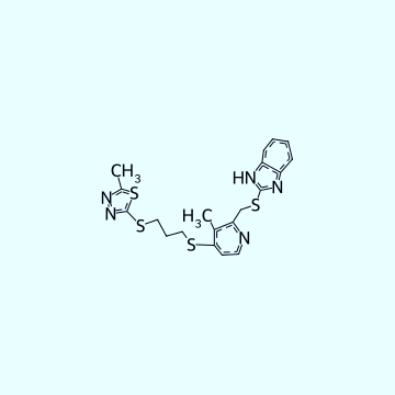 Cc1nnc(SCCCSc2ccnc(CSc3nc4ccccc4[nH]3)c2C)s1